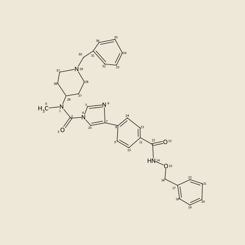 CN(C(=O)n1cnc(-c2ccc(C(=O)NOCc3ccccc3)cc2)c1)C1CCN(Cc2ccccc2)CC1